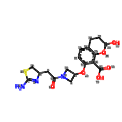 NC1=NC(CC(=O)N2CC(Oc3ccc4c(c3C(=O)O)OB(O)CC4)C2)CS1